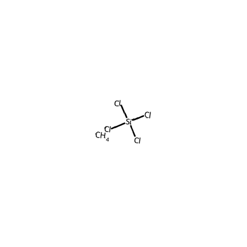 C.Cl[Si](Cl)(Cl)Cl